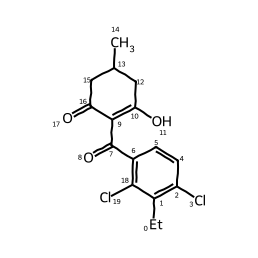 CCc1c(Cl)ccc(C(=O)C2=C(O)CC(C)CC2=O)c1Cl